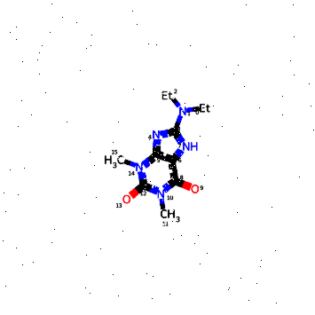 CCN(CC)c1nc2c([nH]1)c(=O)n(C)c(=O)n2C